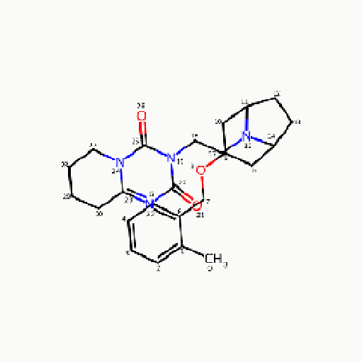 Cc1ccccc1COC1CC2CCC(C1)N2CCn1c(=O)nc2n(c1=O)CCCC2